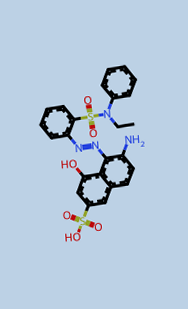 CCN(c1ccccc1)S(=O)(=O)c1ccccc1/N=N/c1c(N)ccc2cc(S(=O)(=O)O)cc(O)c12